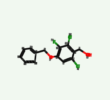 OCc1c(Cl)cc(OCc2ccccc2)c(F)c1Cl